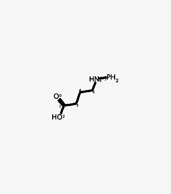 O=C(O)CCCNP